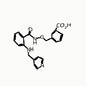 O=C(O)c1cccc(CONC(=O)c2ccccc2NCc2ccncc2)c1